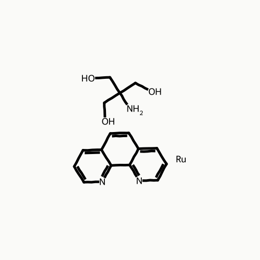 NC(CO)(CO)CO.[Ru].c1cnc2c(c1)ccc1cccnc12